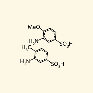 COc1ccc(S(=O)(=O)O)cc1N.Cc1ccc(S(=O)(=O)O)cc1N